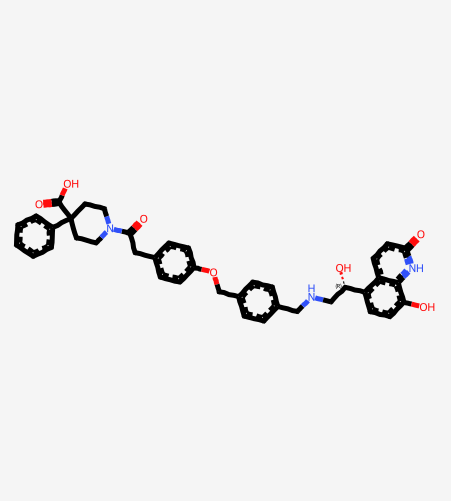 O=C(Cc1ccc(OCc2ccc(CNC[C@H](O)c3ccc(O)c4[nH]c(=O)ccc34)cc2)cc1)N1CCC(C(=O)O)(c2ccccc2)CC1